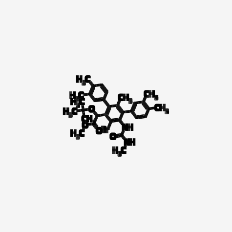 CNC(=O)Nc1c(Br)c(C(OC(C)(C)C)C(=O)OC)c(-c2ccc(C)c(C)c2)c(C)c1-c1ccc(C)c(C)c1